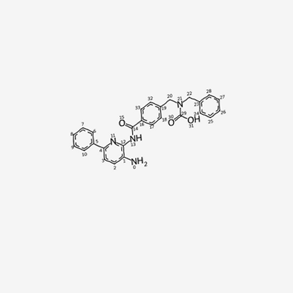 Nc1ccc(-c2ccccc2)nc1NC(=O)c1ccc(CN(Cc2ccccc2)C(=O)O)cc1